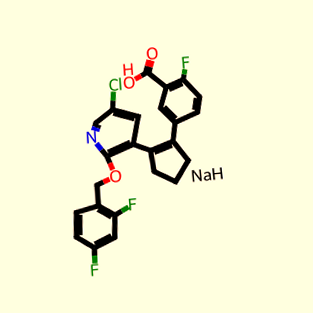 O=C(O)c1cc(C2=C(c3cc(Cl)cnc3OCc3ccc(F)cc3F)CCC2)ccc1F.[NaH]